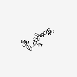 CCS(=O)(=O)c1ccc(CNC(=O)c2nc3c(s2)CN(C[C@H]2CN(C(=O)OC(C)(C)C)CCO2)C3C(C)C)cc1